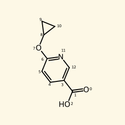 O=C(O)c1ccc(OC2CC2)nc1